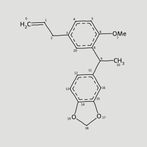 C=CCc1ccc(OC)c(C(C)c2ccc3c(c2)OCO3)c1